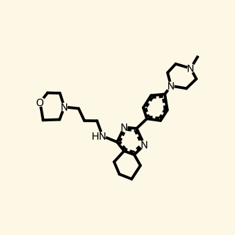 CN1CCN(c2ccc(-c3nc4c(c(NCCCN5CCOCC5)n3)CCCC4)cc2)CC1